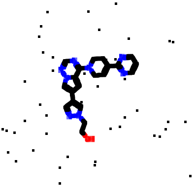 OCCn1cc(-c2cc3c(N4CC=C(c5ncccn5)CC4)ncnn3c2)cn1